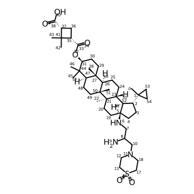 CC1([C@@H]2CC[C@]3(NCC(N)CN4CCS(=O)(=O)CC4)CC[C@]4(C)[C@H](CC[C@@H]5[C@@]6(C)CC[C@H](OC(=O)[C@H]7C[C@@H](C(=O)O)C7(C)C)C(C)(C)[C@@H]6CC[C@]54C)[C@@H]23)CC1